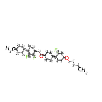 CCCCCOc1ccc(-c2ccc(OCc3ccc(-c4ccc(C)cc4)c(F)c3F)cc2)c(F)c1